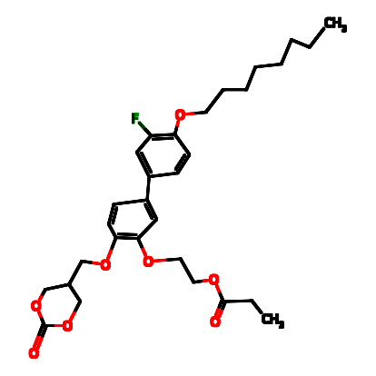 CCCCCCCCOc1ccc(-c2ccc(OCC3COC(=O)OC3)c(OCCOC(=O)CC)c2)cc1F